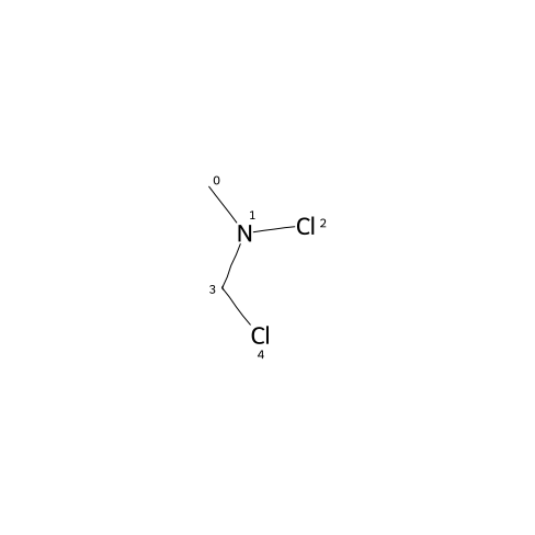 CN(Cl)CCl